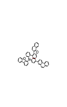 c1ccc(N(c2ccc(-c3ccc4c(ccc5ccccc54)c3)cc2)c2cccc3c2oc2ccccc23)c(-c2cccc3oc4c5ccccc5ccc4c23)c1